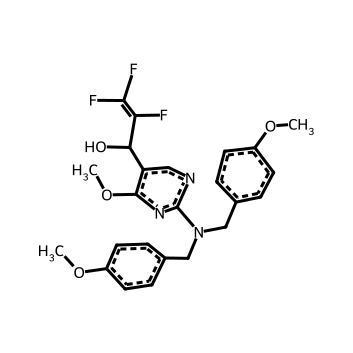 COc1ccc(CN(Cc2ccc(OC)cc2)c2ncc(C(O)C(F)=C(F)F)c(OC)n2)cc1